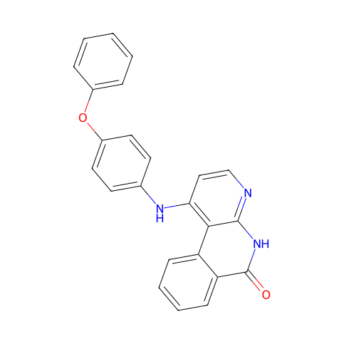 O=c1[nH]c2nccc(Nc3ccc(Oc4ccccc4)cc3)c2c2ccccc12